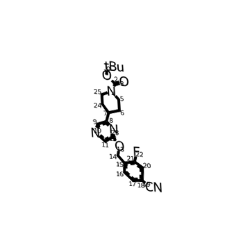 CC(C)(C)OC(=O)N1CCC(c2cncc(OCc3ccc(C#N)cc3F)n2)CC1